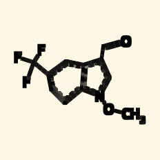 COn1cc(C=O)c2cc(C(F)(F)F)ccc21